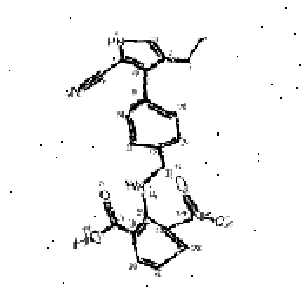 CCc1c[nH]c(C#N)c1-c1ccc(CNc2c(C(=O)O)cccc2[N+](=O)[O-])cc1